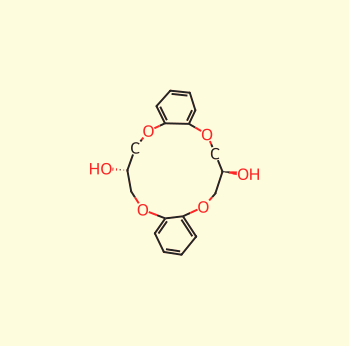 O[C@H]1COc2ccccc2OC[C@H](O)COc2ccccc2OC1